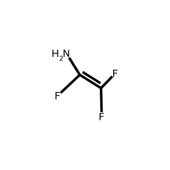 NC(F)=C(F)F